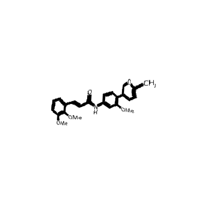 COc1cc(NC(=O)/C=C/c2cccc(OC)c2OC)ccc1C1=CC=C(C)OC1